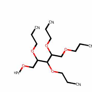 CCCOCC(OCCC#N)C(OCCC#N)C(COCCC#N)OCCC#N